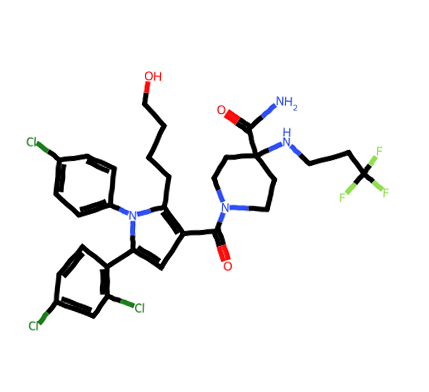 NC(=O)C1(NCCC(F)(F)F)CCN(C(=O)c2cc(-c3ccc(Cl)cc3Cl)n(-c3ccc(Cl)cc3)c2CCCCO)CC1